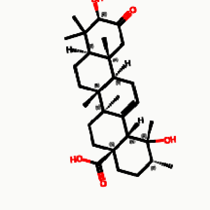 C[C@@H]1CC[C@]2(C(=O)O)CC[C@]3(C)C(=CC[C@@H]4[C@@]5(C)CC(=O)[C@H](O)C(C)(C)[C@@H]5CC[C@]43C)[C@@H]2[C@]1(C)O